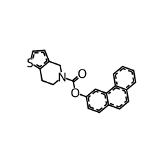 O=C(Oc1ccc2ccc3ccccc3c2c1)N1CCc2sccc2C1